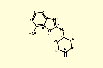 Oc1cccc2nc(NC3CCNCC3)oc12